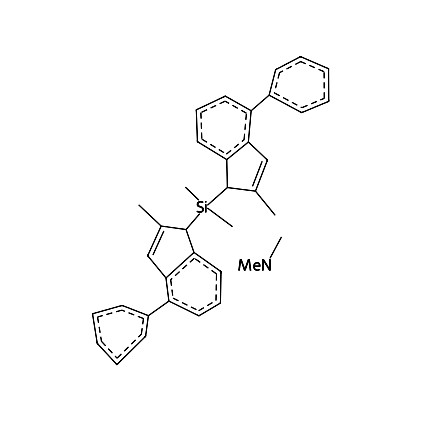 CC1=Cc2c(-c3ccccc3)cccc2C1[Si](C)(C)C1C(C)=Cc2c(-c3ccccc3)cccc21.CNC